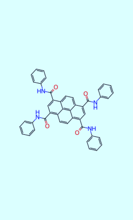 O=C(Nc1ccccc1)c1cc(C(=O)Nc2ccccc2)c2ccc3c(C(=O)Nc4ccccc4)cc(C(=O)Nc4ccccc4)c4ccc1c2c43